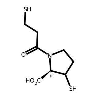 O=C(O)[C@@H]1C(S)CCN1C(=O)CCS